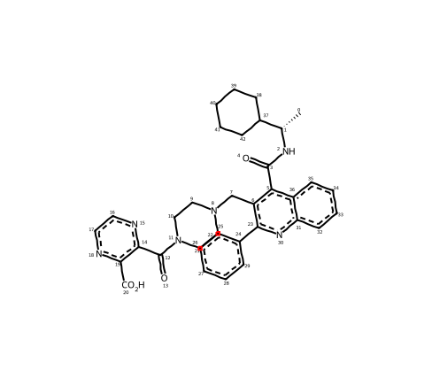 C[C@H](NC(=O)c1c(CN2CCN(C(=O)c3nccnc3C(=O)O)CC2)c(-c2ccccc2)nc2ccccc12)C1CCCCC1